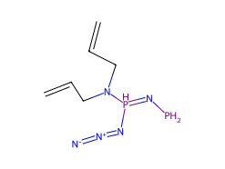 C=CCN(CC=C)/[PH](N=[N+]=[N-])=N/P